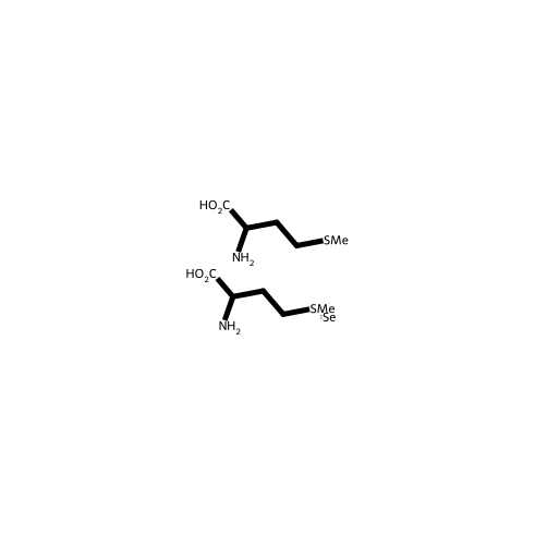 CSCCC(N)C(=O)O.CSCCC(N)C(=O)O.[Se]